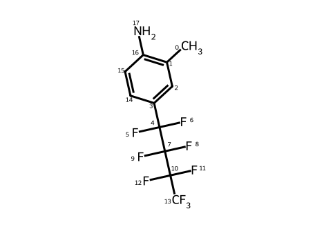 Cc1cc(C(F)(F)C(F)(F)C(F)(F)C(F)(F)F)ccc1N